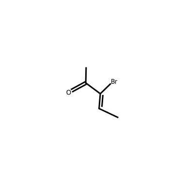 CC=C(Br)C(C)=O